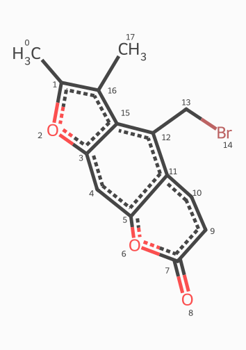 Cc1oc2cc3oc(=O)ccc3c(CBr)c2c1C